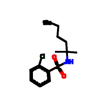 CC(C)(C)CCCC(C)(C)NS(=O)(=O)c1ccccc1Cl